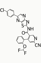 N#Cc1cc(-c2ccccc2OC(F)F)c(C(=O)Nc2nc3ncc(-c4ccc(Cl)cc4)nc3s2)cn1